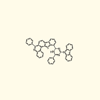 c1ccc(C2=NC(n3c4ccccc4c4ccccc43)=NC(c3cccc4c3sc3c4ccc4c(-c5ccccc5)nc5ccccc5c43)N2)cc1